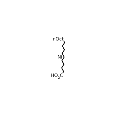 CCCCCCCCCCCCCCCCCC(=O)O.[Ni]